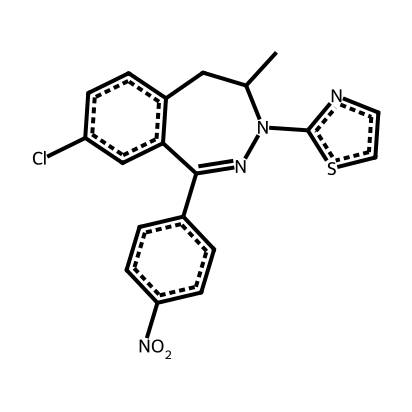 CC1Cc2ccc(Cl)cc2C(c2ccc([N+](=O)[O-])cc2)=NN1c1nccs1